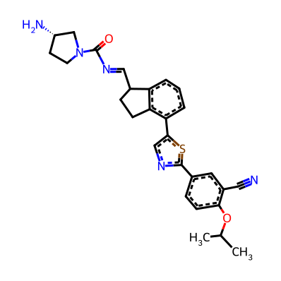 CC(C)Oc1ccc(-c2ncc(-c3cccc4c3CCC4/C=N/C(=O)N3CC[C@H](N)C3)s2)cc1C#N